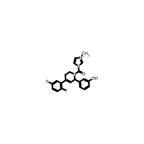 C[n+]1ccn(C(=O)N2CCC(c3cc(F)ccc3F)=CC2c2cccc(O)c2)c1